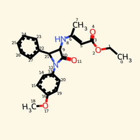 CCOC(=O)C=C(C)NC1C(=O)N(c2ccc(OC)cc2)C1c1ccccc1